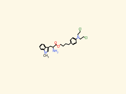 Cn1cc(CC(N)C(=O)OCCCCc2ccc(N(CCCl)CCCl)cc2)c2ccccc21